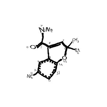 CCC1(C)C=C(C(=O)NC)c2cc(C#N)ccc2O1